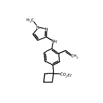 C=Cc1cc(C2(C(=O)OCC)CCC2)ccc1Nc1ccn(C)n1